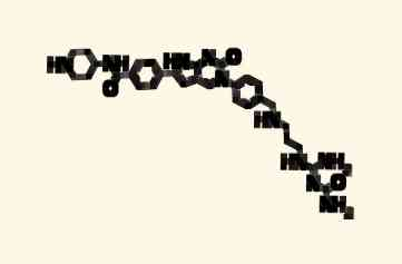 NC(=O)/N=C(\N)NCCCNCc1ccc(-n2cc3cc(-c4ccc(C(=O)NC5CCNCC5)cc4)[nH]c3nc2=O)cc1